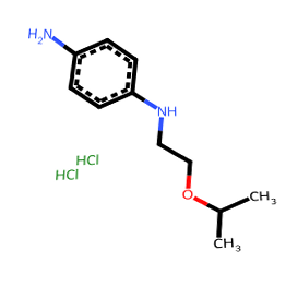 CC(C)OCCNc1ccc(N)cc1.Cl.Cl